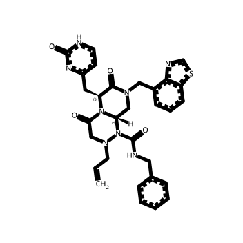 C=CCN1CC(=O)N2[C@@H](Cc3cc[nH]c(=O)n3)C(=O)N(Cc3cccc4scnc34)C[C@@H]2N1C(=O)NCc1ccccc1